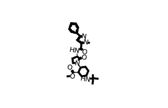 COC(=O)[C@@H]1C[C@H](NC(C)(C)C)CC[C@@H]1N1CC[C@H](NC(=O)c2cc(-c3ccccc3)nn2C)C1=O